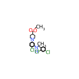 CCOC(=O)C1CCN(c2ccc(Cl)c(NC(C)c3ccc(Cl)cc3Cl)c2)CC1